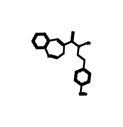 CCCN(CCc1ccc(OC)cc1)C(=O)C1=Cc2ccccc2N=CC1